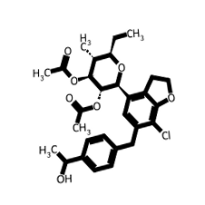 CC[C@H]1O[C@@H](c2cc(Cc3ccc(C(C)O)cc3)c(Cl)c3c2CCO3)[C@H](OC(C)=O)[C@@H](OC(C)=O)[C@@H]1C